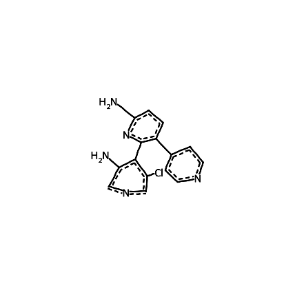 Nc1ccc(-c2ccncc2)c(-c2c(N)cncc2Cl)n1